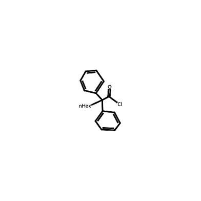 CCCCCCC(C(=O)Cl)(c1ccccc1)c1ccccc1